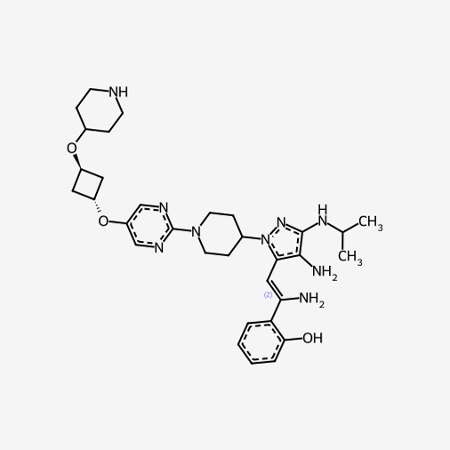 CC(C)Nc1nn(C2CCN(c3ncc(O[C@H]4C[C@H](OC5CCNCC5)C4)cn3)CC2)c(/C=C(\N)c2ccccc2O)c1N